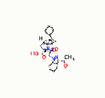 CC(=O)c1nn(CC(=O)N2[C@H](C(=O)O)C[C@H]3C[C@@]32[C@]2(C(N)=O)C[C@@H]2c2ccccc2)c2ccccc12